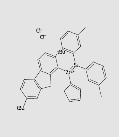 Cc1cccc([Si](c2cccc(C)c2)=[Zr+2]([C]2=CC=CC2)[c]2c(C(C)(C)C)ccc3c2Cc2cc(C(C)(C)C)ccc2-3)c1.[Cl-].[Cl-]